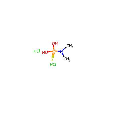 CN(C)P(O)(O)=S.Cl.Cl